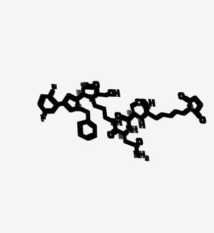 CC(C)(C)[C@H](c1cc(-c2cc(F)ccc2F)cn1Cc1ccccc1)N(CCCNC(=O)[C@H](CC(N)=O)NC(=O)[C@H](CC(=O)O)NC(=O)CCCCCN1C(=O)C=CC1=O)C(=O)CO